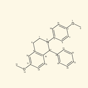 COc1ccc(N2CCc3cc(OC)ccc3C2c2ccccc2)cc1